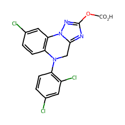 O=C(O)Oc1nc2n(n1)-c1cc(Cl)ccc1N(c1ccc(Cl)cc1Cl)C2